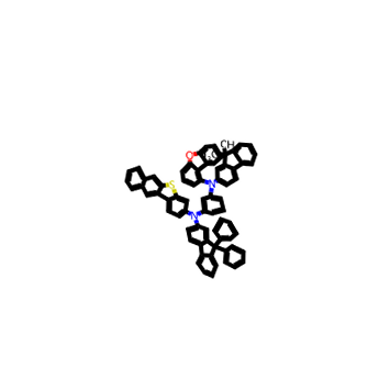 CC1(C)c2ccccc2-c2ccc(N(c3cccc(N(c4ccc5c(c4)C(c4ccccc4)(c4ccccc4)c4ccccc4-5)c4ccc5c(c4)sc4cc6ccccc6cc45)c3)c3cccc4oc5ccccc5c34)cc21